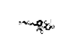 Cn1c(=O)n(C2CCC(=O)NC2=O)c2cccc(CCCOCCBr)c21